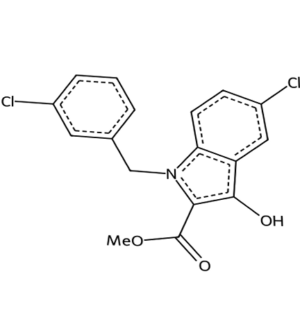 COC(=O)c1c(O)c2cc(Cl)ccc2n1Cc1cccc(Cl)c1